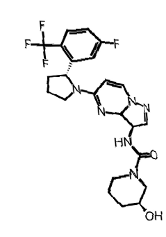 O=C(NC1C=NN2C=CC(N3CCC[C@@H]3c3cc(F)ccc3C(F)(F)F)=NC12)N1CCC[C@H](O)C1